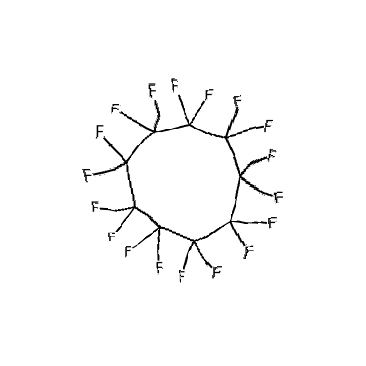 FC1(F)C(F)(F)C(F)(F)C(F)(F)C(F)(F)C(F)(F)C(F)(F)C(F)(F)C1(F)F